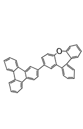 c1ccc2c(c1)Oc1ccc(-c3ccc4c5ccccc5c5ccccc5c4c3)cc1-c1ccccc1-2